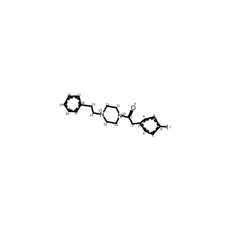 O=C(Cc1ccc(I)cc1)N1CCN(CCc2ccccc2)CC1